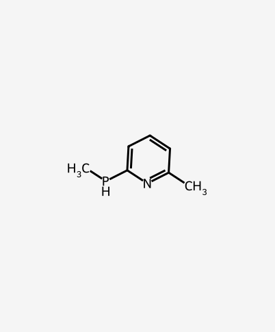 CPc1cccc(C)n1